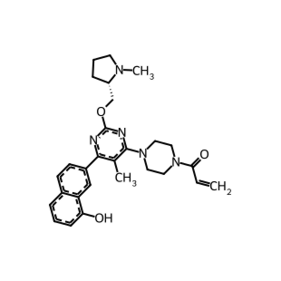 C=CC(=O)N1CCN(c2nc(OC[C@@H]3CCCN3C)nc(-c3ccc4cccc(O)c4c3)c2C)CC1